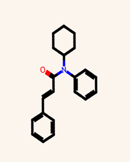 O=C(C=Cc1ccccc1)N(c1ccccc1)C1CCCCC1